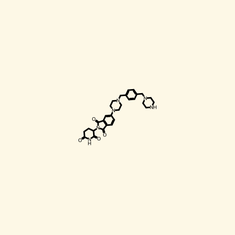 O=C1CCC(N2C(=O)c3ccc(N4CCN(Cc5ccc(CN6CCNCC6)cc5)CC4)cc3C2=O)C(=O)N1